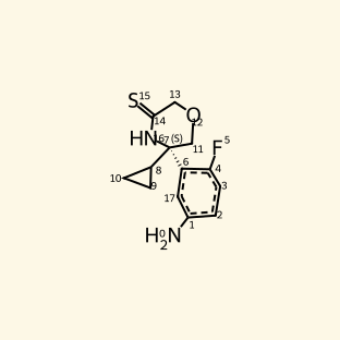 Nc1ccc(F)c([C@@]2(C3CC3)COCC(=S)N2)c1